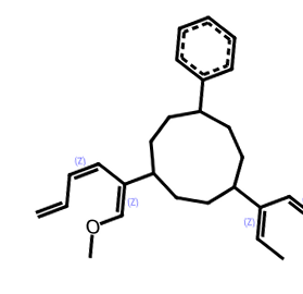 C=C/C=C\C(=C/OC)C1CCC(C(/C=C\Cl)=C/C)CCC(c2ccccc2)CC1